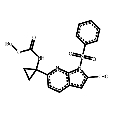 CC(C)(C)OC(=O)NC1(c2ccc3cc(C=O)n(S(=O)(=O)c4ccccc4)c3n2)CC1